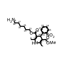 COC(=O)C1=C(C)NC(C)=C(C(=O)OCCCCCCN)C1c1ccccc1[N+](=O)[O-]